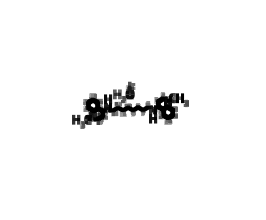 C[n+]1ccc(NCCCCCCCCNc2cc[n+](C)c3ccccc23)c2ccccc21.O.[I-].[I-]